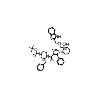 CC(C)(C)OC(=O)N1CCN(C(=O)c2ncn([C@H]3CCCC[C@]3(O)COCc3nc4ccccc4[nH]3)c2-c2ccccc2)[C@H](Cc2ccccc2)C1